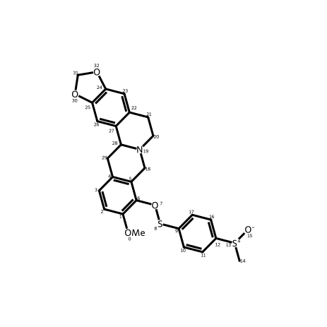 COc1ccc2c(c1OSc1ccc([S+](C)[O-])cc1)CN1CCc3cc4c(cc3C1C2)OCO4